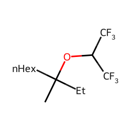 CCCCCCC(C)(CC)OC(C(F)(F)F)C(F)(F)F